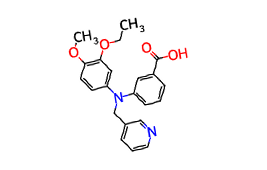 CCOc1cc(N(Cc2cccnc2)c2cccc(C(=O)O)c2)ccc1OC